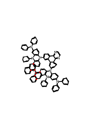 C1=CC(N2c3cc(N(c4ccccc4)c4ccccc4)ccc3N(c3ccc4c(c3)c3cc(N5c6ccc(N(c7ccccc7)c7ccccc7)cc6N(c6ccccc6)c6cc(N(c7ccccc7)c7ccccc7)ccc65)ccc3c3nccnc43)c3ccc(N(c4ccccc4)c4ccccc4)cc32)=CCC1